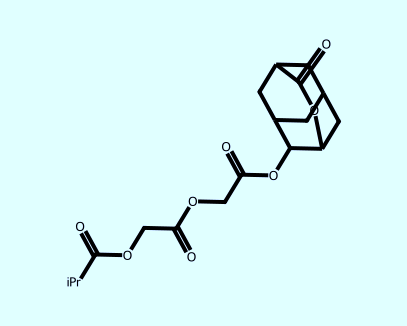 CC(C)C(=O)OCC(=O)OCC(=O)OC1C2CC3CC(C2)C(=O)OC1C3